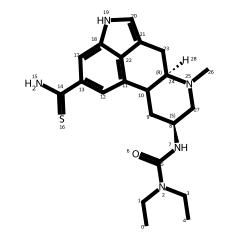 CCN(CC)C(=O)N[C@H]1CC2c3cc(C(N)=S)cc4[nH]cc(c34)C[C@H]2N(C)C1